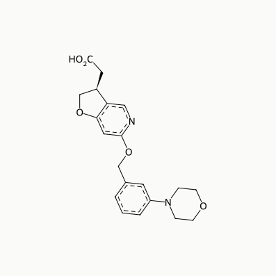 O=C(O)C[C@@H]1COc2cc(OCc3cccc(N4CCOCC4)c3)ncc21